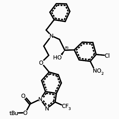 CC(C)(C)OC(=O)n1nc(C(F)(F)F)c2ccc(OCCN(Cc3ccccc3)C[C@H](O)c3ccc(Cl)c([N+](=O)[O-])c3)cc21